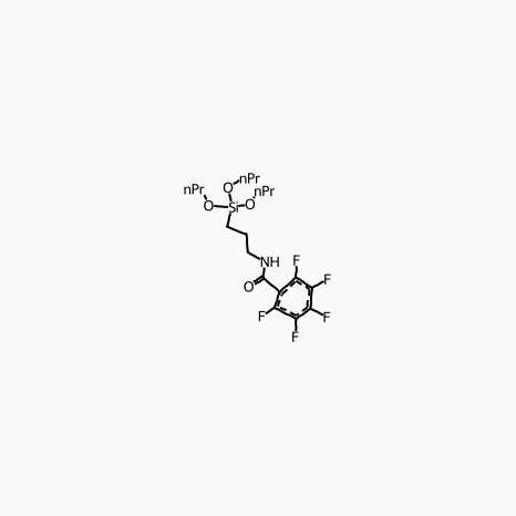 CCCO[Si](CCCNC(=O)c1c(F)c(F)c(F)c(F)c1F)(OCCC)OCCC